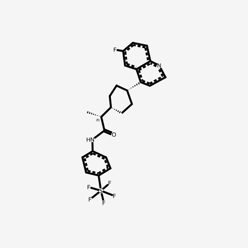 C[C@@H](C(=O)Nc1ccc(S(F)(F)(F)(F)F)cc1)[C@H]1CC[C@@H](c2ccnc3ccc(F)cc32)CC1